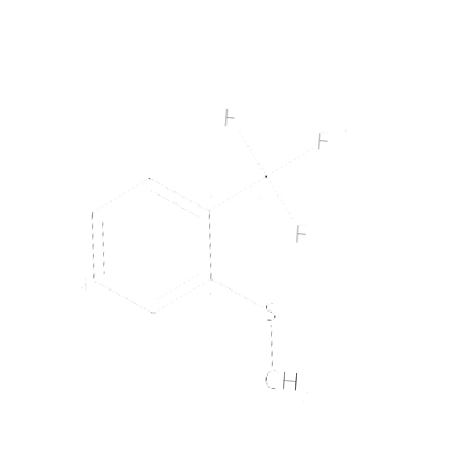 CSc1c[c]ccc1C(F)(F)F